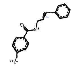 Cc1ccc(C(=O)NC/C=C/c2ccccc2)cc1